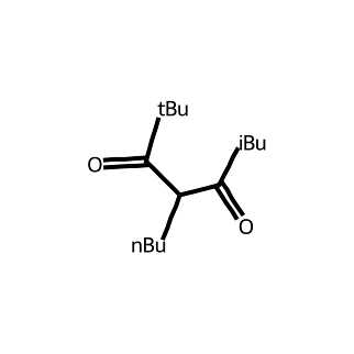 CCCCC(C(=O)C(C)CC)C(=O)C(C)(C)C